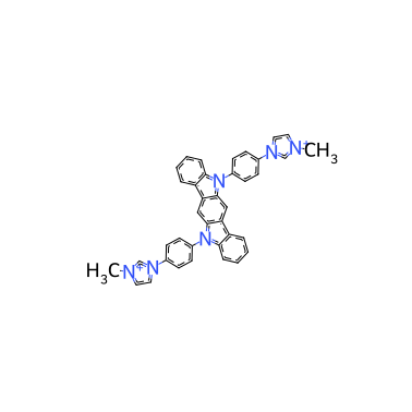 C[n+]1ccn(-c2ccc(-n3c4ccccc4c4cc5c(cc43)c3ccccc3n5-c3ccc(-n4cc[n+](C)c4)cc3)cc2)c1